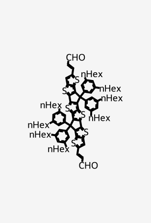 CCCCCCc1cc(CCCCCC)cc(C2(c3cc(CCCCCC)cc(CCCCCC)c3)c3c(sc4cc(/C=C/C=O)sc34)-c3sc4c5c(sc4c32)-c2sc3cc(/C=C/C=O)sc3c2C5(c2cc(CCCCCC)cc(CCCCCC)c2)c2cc(CCCCCC)cc(CCCCCC)c2)c1